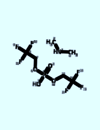 CNC.O=P(O)(OCC(F)(F)F)OCC(F)(F)F